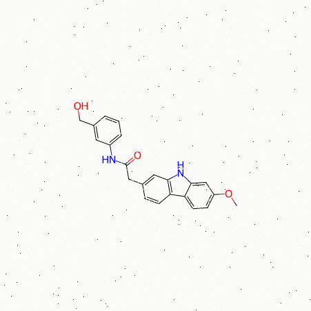 COc1ccc2c(c1)[nH]c1cc(CC(=O)Nc3cccc(CO)c3)ccc12